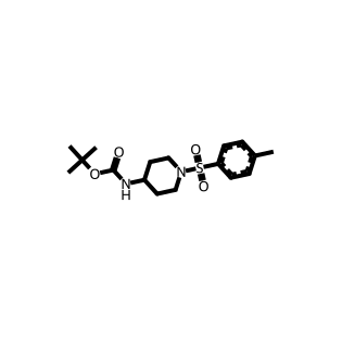 Cc1ccc(S(=O)(=O)N2CCC(NC(=O)OC(C)(C)C)CC2)cc1